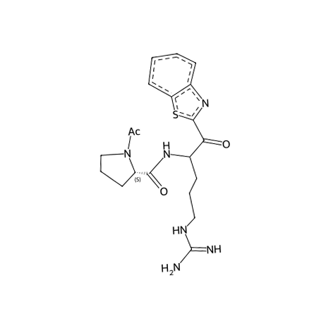 CC(=O)N1CCC[C@H]1C(=O)NC(CCCNC(=N)N)C(=O)c1nc2ccccc2s1